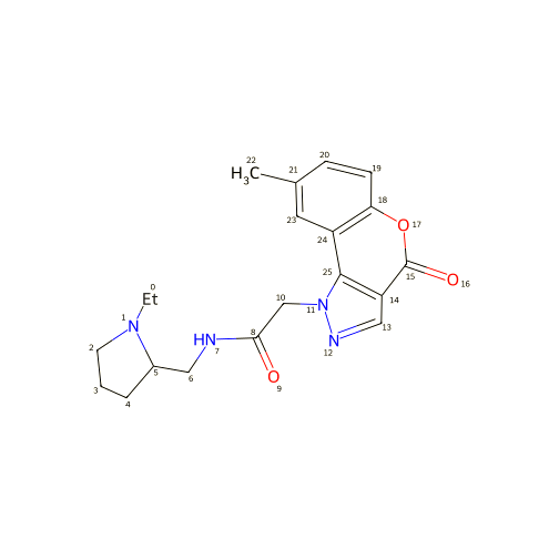 CCN1CCCC1CNC(=O)Cn1ncc2c(=O)oc3ccc(C)cc3c21